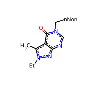 CCCCCCCCCCn1cnc2nn(CC)c(C)c2c1=O